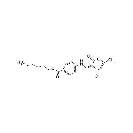 CCCCCCOC(=O)c1ccc(NC=C2C(=O)C=C(C)OC2=O)cc1